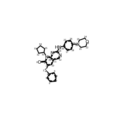 O=c1c(Sc2ccccc2)cc2cnc(Nc3ccc(N4CCOCC4)cc3)nc2n1C1CCCC1